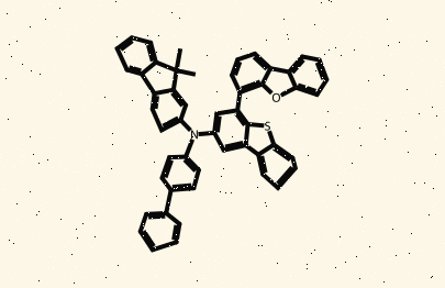 CC1(C)c2ccccc2-c2ccc(N(c3ccc(-c4ccccc4)cc3)c3cc(-c4cccc5c4oc4ccccc45)c4sc5ccccc5c4c3)cc21